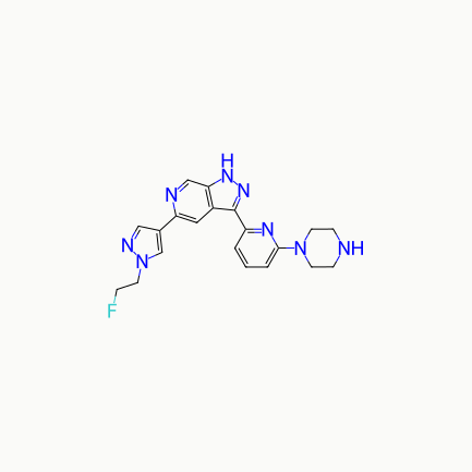 FCCn1cc(-c2cc3c(-c4cccc(N5CCNCC5)n4)n[nH]c3cn2)cn1